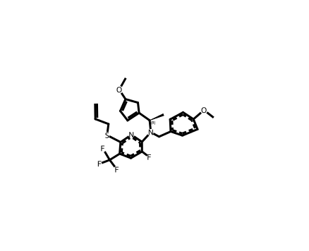 C=CCSc1nc(N(Cc2ccc(OC)cc2)[C@H](C)C2=CC=C(OC)C2)c(F)cc1C(F)(F)F